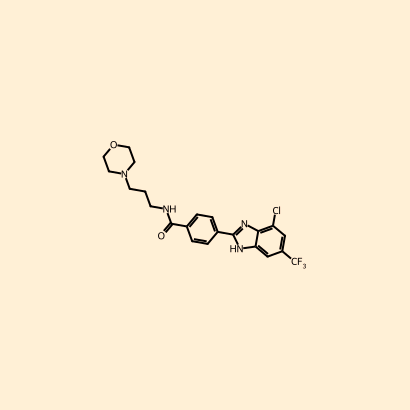 O=C(NCCCN1CCOCC1)c1ccc(-c2nc3c(Cl)cc(C(F)(F)F)cc3[nH]2)cc1